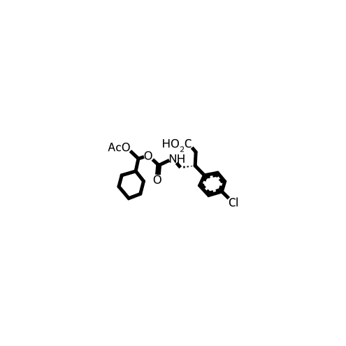 CC(=O)OC(OC(=O)NC[C@H](CC(=O)O)c1ccc(Cl)cc1)C1CCCCC1